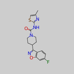 Cc1csc(NC(=O)N2CCC(c3noc4cc(F)ccc34)CC2)n1